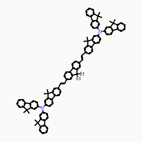 CCC1(CC)c2cc(/C=C/c3ccc4c(c3)C(C)(C)c3cc(N(c5ccc6c(c5)C(C)(C)c5ccccc5-6)c5ccc6c(c5)C(C)(C)c5ccccc5-6)ccc3-4)ccc2-c2ccc(/C=C/c3ccc4c(c3)C(C)(C)c3cc(N(c5ccc6c(c5)C(C)(C)c5ccccc5-6)c5ccc6c(c5)C(C)(C)c5ccccc5-6)ccc3-4)cc21